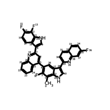 Cc1c(F)c(-c2cc(-c3c[nH]c4c(F)c(F)ccc34)nc3ccccc23)cc2c(-c3ccc4ccc(F)cc4n3)c[nH]c12